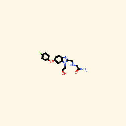 NC(=O)CNCc1nc2ccc(Oc3ccc(F)cc3)cc2n1CCO